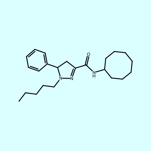 CCCCCN1N=C(C(=O)NC2CCCCCCC2)CC1c1ccccc1